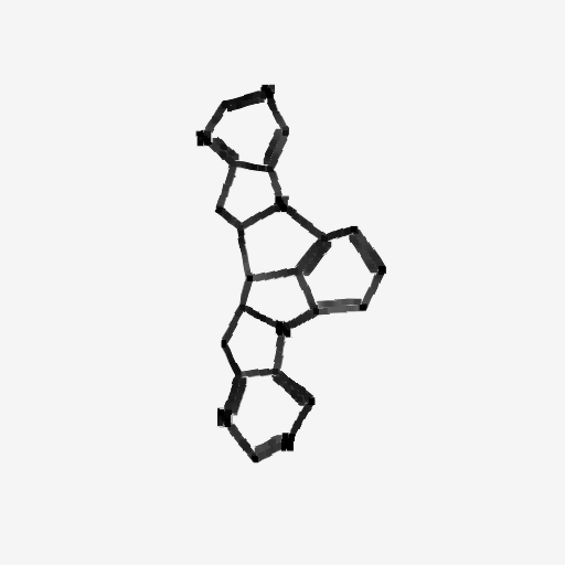 c1cc2c3c(c1)N1c4cncnc4CC1C3C1Cc3ncncc3N21